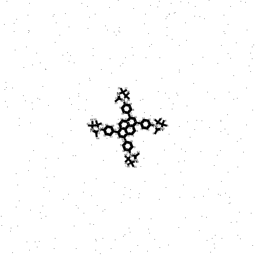 CC1=NC(C)(C)C(C)(C)N1c1ccc(-c2cc(-c3ccc(N4C(C)=NC(C)(C)C4(C)C)cc3)c3ccc4c(-c5ccc(N6C(C)=NC(C)(C)C6(C)C)cc5)cc(-c5ccc(N6C(C)=NC(C)(C)C6(C)C)cc5)c5ccc2c3c54)cc1